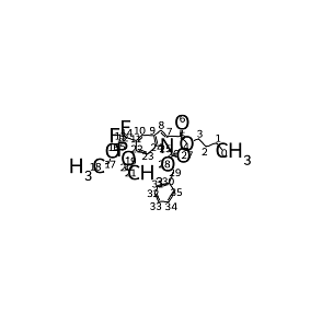 CCCCOC(=O)c1cc2cc(C(F)(F)P(OCC)OCC)ccc2n1C(=O)OCc1ccccc1